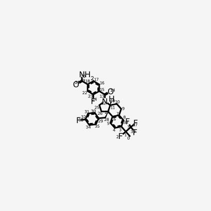 CC(F)(c1ccc2c(c1)CC[C@H]1N(C(=O)c3ccc(C(N)=O)cc3F)CC[C@@]21Cc1ccc(F)cc1)C(F)(F)F